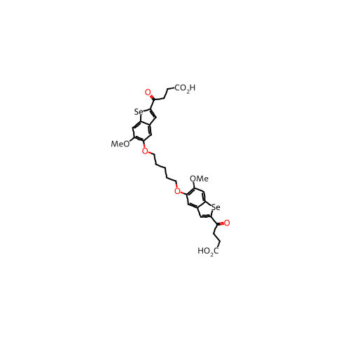 COc1cc2[se]c(C(=O)CCC(=O)O)cc2cc1OCCCCCOc1cc2cc(C(=O)CCC(=O)O)[se]c2cc1OC